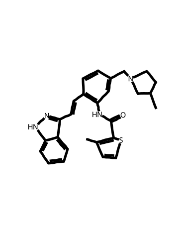 Cc1ccsc1C(=O)Nc1cc(CN2CCC(C)C2)ccc1C=Cc1n[nH]c2ccccc12